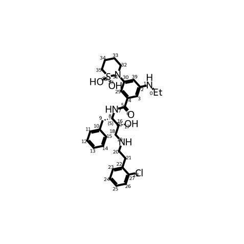 CCNc1cc(C(=O)N[C@@H](Cc2ccccc2)[C@H](O)CNCCc2ccccc2Cl)cc(N2CCCCS2(O)O)c1